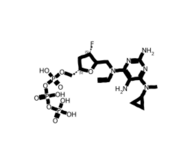 C=CN(CC1O[C@H](COP(=O)(O)OP(=O)(O)OP(=O)(O)O)C[C@@H]1F)c1nc(N)nc(N(C)C2CC2)c1N